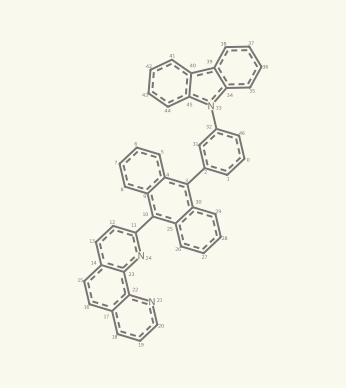 c1cc(-c2c3ccccc3c(-c3ccc4ccc5cccnc5c4n3)c3ccccc23)cc(-n2c3ccccc3c3ccccc32)c1